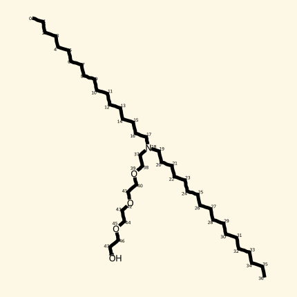 CCCCCCCCCCCCCCCCCCN(CCCCCCCCCCCCCCCCCC)CCOCCOCCOCCO